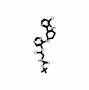 CC(C)(C)OC(=O)NCC(Cl)Oc1cncnc1NC1CCc2[nH]c3c(Cl)ccnc3c2C1